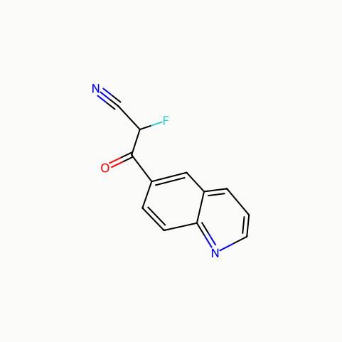 N#CC(F)C(=O)c1ccc2ncccc2c1